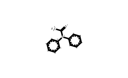 FC(F)(F)C(=S)N(c1ccccc1)c1ccccc1